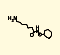 NCCCCCCC(=O)NOC1CCCCCC1